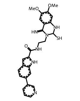 COc1cc2c(cc1OC)C(=N)N(CCNC(=O)c1cc3ccc(-c4cccnc4)cc3[nH]1)C(S)N2